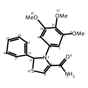 COc1cc(N2C(C(N)=O)=CSC2c2ccccc2)cc(OC)c1OC